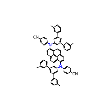 [C-]#[N+]c1ccc(N(c2cc(-c3cccc(C)c3)cc(-c3cccc(C)c3)c2)c2ccc3ccc4c(N(c5ccc(C#N)cc5)c5cc(-c6cccc(C)c6)cc(-c6cccc(C)c6)c5)ccc5ccc2c3c54)cc1